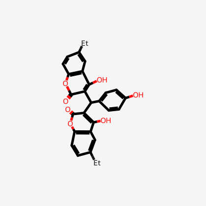 CCc1ccc2oc(=O)c(C(c3ccc(O)cc3)c3c(O)c4cc(CC)ccc4oc3=O)c(O)c2c1